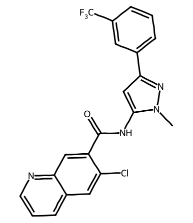 Cn1nc(-c2cccc(C(F)(F)F)c2)cc1NC(=O)c1cc2ncccc2cc1Cl